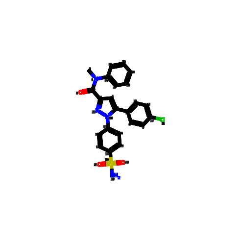 CN(C(=O)c1cc(-c2ccc(Cl)cc2)n(-c2ccc(S(N)(=O)=O)cc2)n1)c1ccccc1